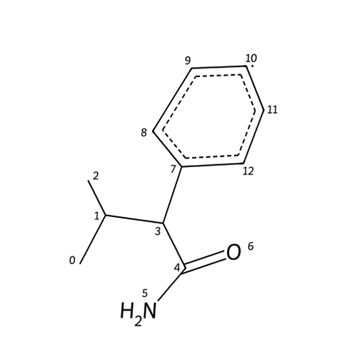 CC(C)C(C(N)=O)c1cc[c]cc1